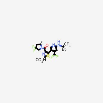 CC[C@H](Nc1cc(C(F)F)c(-c2sc(C(=O)O)nc2C(=O)N2CC(F)(F)C[C@@H]2C)cn1)C(F)(F)F